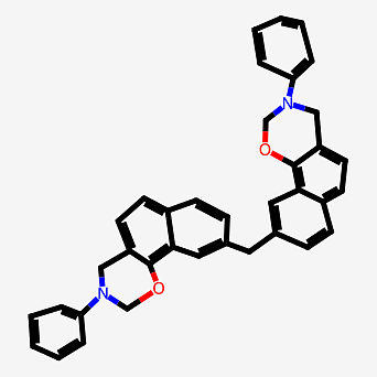 c1ccc(N2COc3c(ccc4ccc(Cc5ccc6ccc7c(c6c5)OCN(c5ccccc5)C7)cc34)C2)cc1